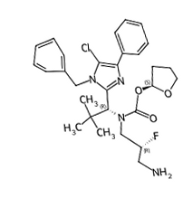 CC(C)(C)[C@H](c1nc(-c2ccccc2)c(Cl)n1Cc1ccccc1)N(C[C@H](F)CN)C(=O)O[C@H]1CCCO1